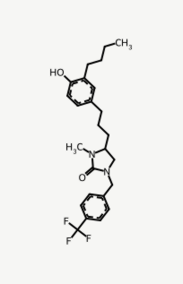 CCCCc1cc(CCCC2CN(Cc3ccc(C(F)(F)F)cc3)C(=O)N2C)ccc1O